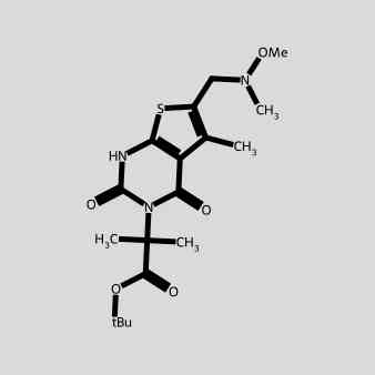 CON(C)Cc1sc2[nH]c(=O)n(C(C)(C)C(=O)OC(C)(C)C)c(=O)c2c1C